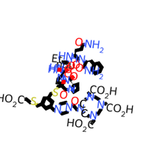 CCCCNC(=O)/N=C/C(CSCc1cc(CSCCC(=O)O)cc(CN2CCN(C(=O)CN3CCN(CC(=O)O)CCN(CC(=O)O)CCN(CC(=O)O)CC3)CC2)c1)C(=O)N1CCC[C@H]1C(=O)N1CCC[C@H]1C(=O)N[C@@H](CC)C(=O)N[C@@H](CCC(N)=O)C(=O)N[C@@H](Cc1ccccc1)C(N)=O